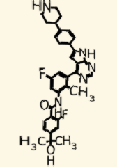 Cc1c(NC(=O)c2ccc(C(C)(C)O)cc2F)cc(F)cc1-c1ncnc2[nH]c(-c3ccc(C4CCNCC4)cc3)cc12